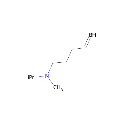 B=CCCCN(C)C(C)C